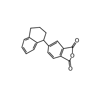 O=C1OC(=O)c2cc(C3CCCc4ccccc43)ccc21